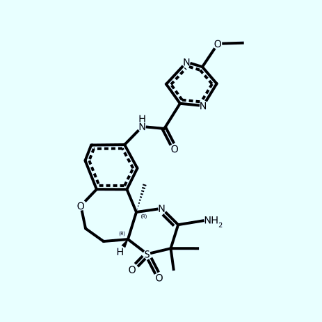 COc1cnc(C(=O)Nc2ccc3c(c2)[C@@]2(C)N=C(N)C(C)(C)S(=O)(=O)[C@@H]2CCO3)cn1